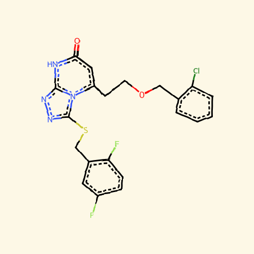 O=c1cc(CCOCc2ccccc2Cl)n2c(SCc3cc(F)ccc3F)nnc2[nH]1